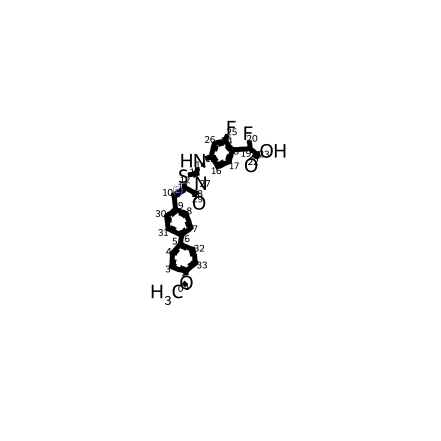 COc1ccc(-c2ccc(/C=C3/SC(Nc4ccc(C(F)C(=O)O)c(F)c4)=NC3=O)cc2)cc1